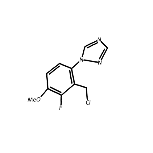 COc1ccc(-n2cncn2)c(CCl)c1F